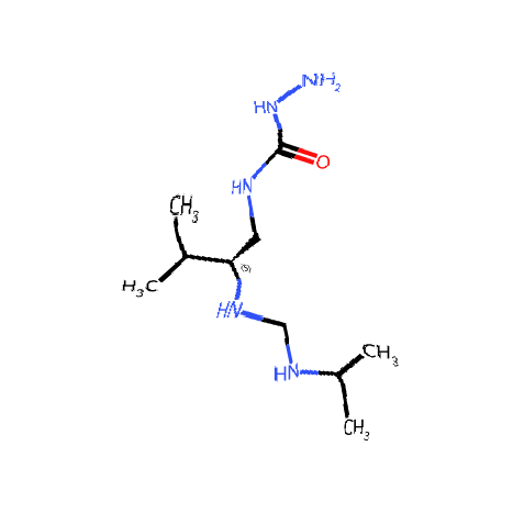 CC(C)NCN[C@H](CNC(=O)NN)C(C)C